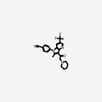 Cc1c(C(=O)CN2CCCCC2)c2ncc(C(F)(F)F)cc2n1-c1ccc(C#N)cc1